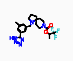 Cc1cc(CN2CCCC23CCN(C(=O)OC(C)C(F)(F)F)CC3)cc(-c2nnn[nH]2)c1